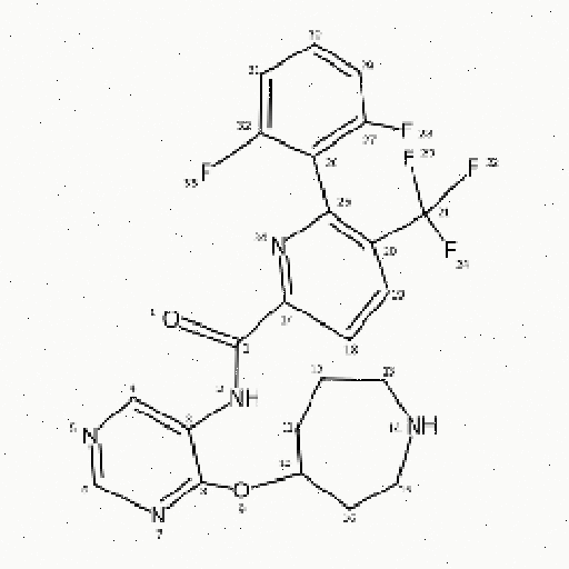 O=C(Nc1cncnc1OC1CCCNCC1)c1ccc(C(F)(F)F)c(-c2c(F)cccc2F)n1